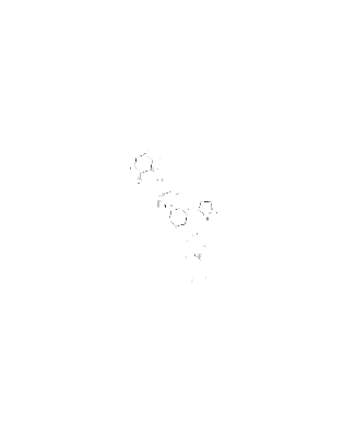 Cn1nccc1-c1cc(NC(=O)COc2ccccc2F)ccc1OCCN1CCCCC1